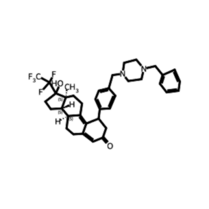 C[C@]12CCC3=C4C(=CC(=O)CC4c4ccc(CN5CCN(Cc6ccccc6)CC5)cc4)CC[C@H]3[C@@H]1CCC2(O)C(F)(F)C(F)(F)F